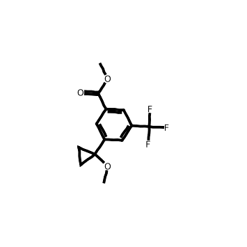 COC(=O)c1cc(C(F)(F)F)cc(C2(OC)CC2)c1